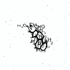 CN(C)CC1C[C@H]2[C@@H]3CC[C@H]4CCCC[C@]4(C)[C@H]3CC[C@]2(C)C1C=O